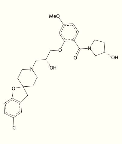 COc1ccc(C(=O)N2CC[C@H](O)C2)c(OC[C@H](O)CN2CCC3(CC2)Cc2cc(Cl)ccc2O3)c1